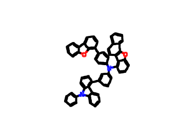 c1ccc(-n2c3ccccc3c3c(-c4cccc(N(c5ccc(-c6cccc7c6oc6ccccc67)cc5)c5cccc6oc7c8ccccc8ccc7c56)c4)cccc32)cc1